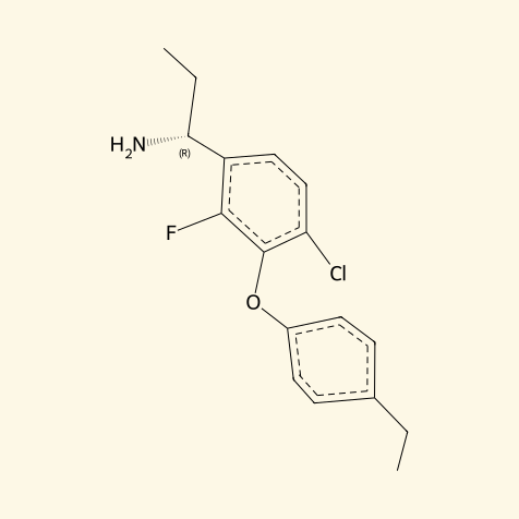 CCc1ccc(Oc2c(Cl)ccc([C@H](N)CC)c2F)cc1